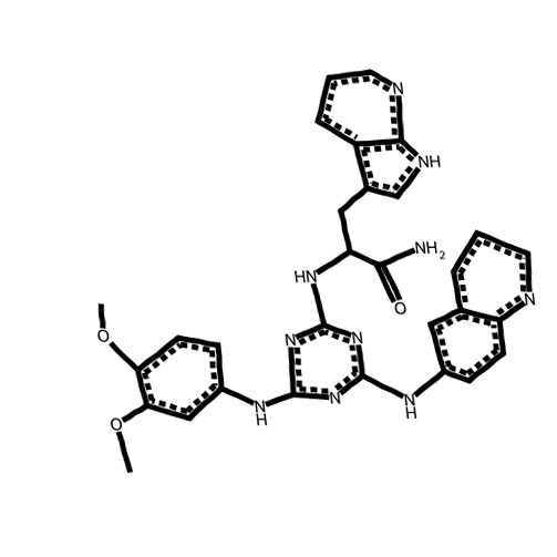 COc1ccc(Nc2nc(Nc3ccc4ncccc4c3)nc(NC(Cc3c[nH]c4ncccc34)C(N)=O)n2)cc1OC